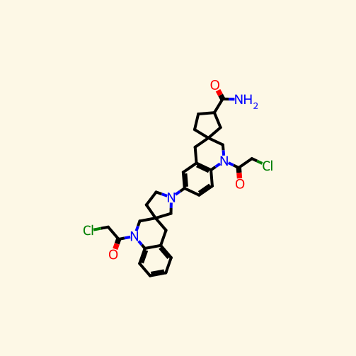 NC(=O)C1CCC2(Cc3cc(N4CCC5(Cc6ccccc6N(C(=O)CCl)C5)C4)ccc3N(C(=O)CCl)C2)C1